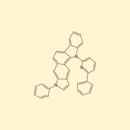 c1ccc(-c2cccc(-n3c4ccccc4c4ccc5cc6c(ccn6-c6ccccc6)cc5c43)n2)cc1